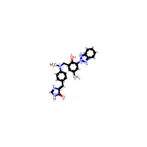 Cc1cc(CN(C)c2ccc(C=C3N=CNC3=O)cc2)c(O)c(-n2nc3ccccc3n2)c1